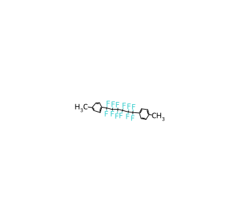 Cc1ccc(C(F)(F)C(F)(F)C(F)(F)C(F)(F)C(F)(F)C(F)(F)c2ccc(C)cc2)cc1